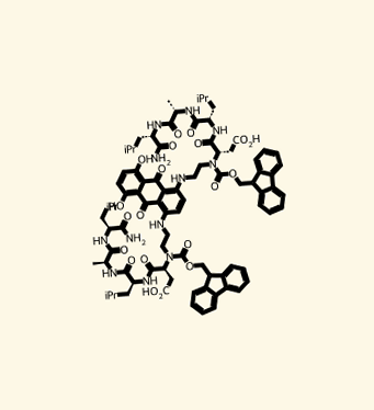 CC(C)C[C@H](NC(=O)[C@H](C)NC(=O)[C@H](CC(C)C)NC(=O)[C@H](CC(=O)O)N(CCNc1ccc(NCCN(C(=O)OCC2c3ccccc3-c3ccccc32)[C@@H](CC(=O)O)C(=O)N[C@@H](CC(C)C)C(=O)N[C@@H](C)C(=O)N[C@@H](CC(C)C)C(N)=O)c2c1C(=O)c1c(O)ccc(O)c1C2=O)C(=O)OCC1c2ccccc2-c2ccccc21)C(N)=O